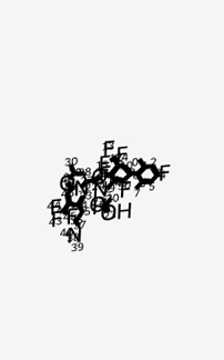 Cc1cc(F)cc(C)c1-c1cc(C(F)(F)F)c(F)c([C@H](CC(=O)O)NC(=O)[C@H](CC(C)C)n2cc(CCCN(C)C)c(C(F)(F)F)cc2=O)c1F